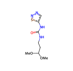 COC(CCNC(=O)Nc1cnns1)OC